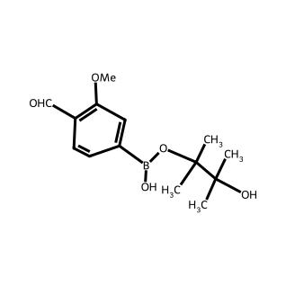 COc1cc(B(O)OC(C)(C)C(C)(C)O)ccc1C=O